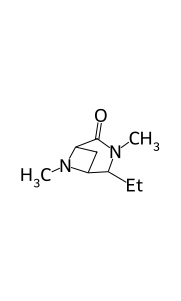 CCC1C2CC(C(=O)N1C)N2C